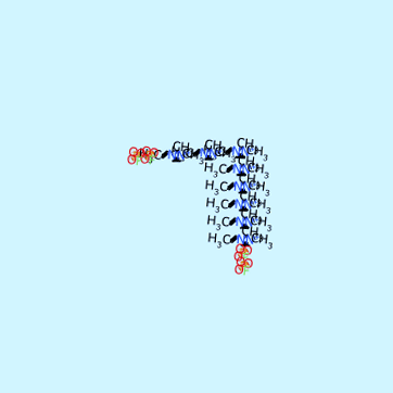 CCCn1cc[n+](C)c1C.CCCn1cc[n+](C)c1C.CCCn1cc[n+](C)c1C.CCCn1cc[n+](C)c1C.CCCn1cc[n+](C)c1C.CCCn1cc[n+](C)c1C.CCCn1cc[n+](C)c1C.CCCn1cc[n+](C)c1C.O=P([O-])([O-])F.O=P([O-])([O-])F.O=P([O-])([O-])F.O=P([O-])([O-])F